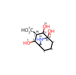 O=C(O)[C@@H]1C(O)C2CCC[C@](O)(N2)C1O